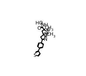 CC(CC1CC(c2ccc(-c3ccsc3)cc2)=NO1)(C(=O)NO)S(C)(=O)=O